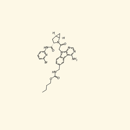 CCCCOC(=O)NCc1ccc2c(c1)c1c(N)ncnc1n2CC(=O)N1[C@@H]2C[C@@H]2C[C@H]1C(=O)Nc1cccc(Br)n1